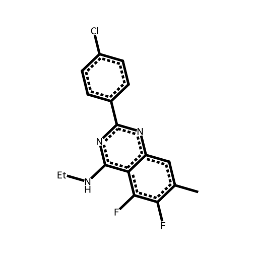 CCNc1nc(-c2ccc(Cl)cc2)nc2cc(C)c(F)c(F)c12